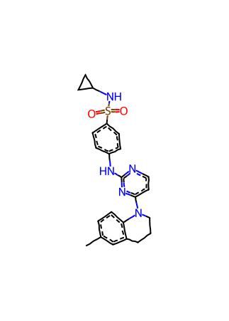 Cc1ccc2c(c1)CCCN2c1ccnc(Nc2ccc(S(=O)(=O)NC3CC3)cc2)n1